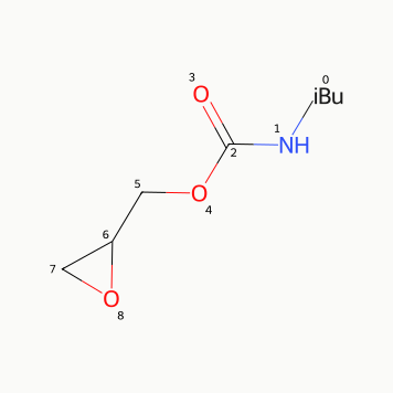 CCC(C)NC(=O)OCC1CO1